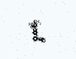 C=C1CCC(N2Cc3ccc(C[C@H]4CCCC[C@@H]4NCC4CCOC4)cc3C2)C(=O)N1